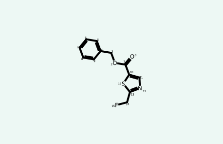 O=C(OCc1ccccc1)c1cnc(CF)s1